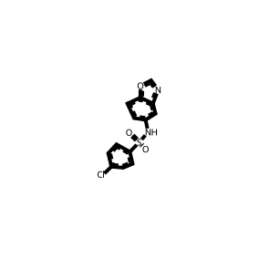 O=S(=O)(Nc1ccc2ocnc2c1)c1ccc(Cl)cc1